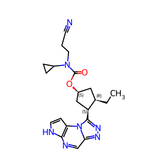 CC[C@@H]1C[C@H](OC(=O)N(CCC#N)C2CC2)C[C@@H]1c1nnc2cnc3[nH]ccc3n12